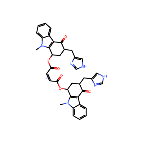 Cn1c2c(c3ccccc31)C(=O)C(Cc1c[nH]cn1)CC2OC(=O)/C=C\C(=O)OC1CC(Cc2c[nH]cn2)C(=O)c2c1n(C)c1ccccc21